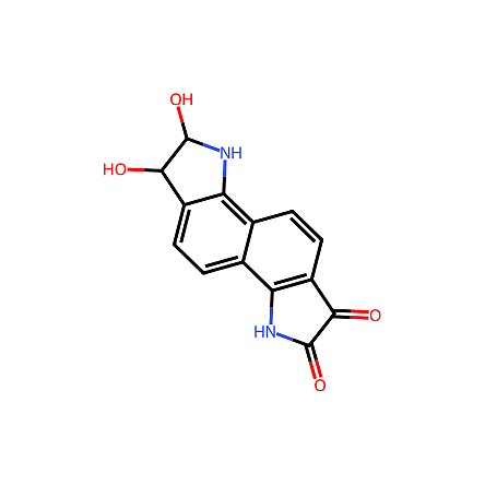 O=C1Nc2c(ccc3c4c(ccc23)C(O)C(O)N4)C1=O